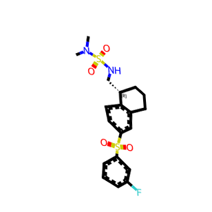 CN(C)S(=O)(=O)NC[C@@H]1CCCc2cc(S(=O)(=O)c3cccc(F)c3)ccc21